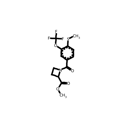 COC(=O)C1CCN1C(=O)c1ccc(SC)c(OC(F)(F)F)c1